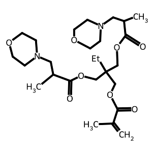 C=C(C)C(=O)OCC(CC)(COC(=O)C(C)CN1CCOCC1)COC(=O)C(C)CN1CCOCC1